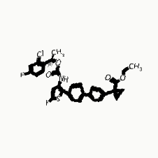 CCOC(=O)C1(c2ccc(-c3ccc(-c4sc(F)cc4NC(=O)O[C@H](C)c4ccc(F)cc4Cl)cc3)cc2)CC1